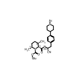 CC(=O)N1CCC(c2ccc(C[C@@H](C#N)NC(=O)[C@@H]3[C@H](C)CC[C@H](C)N3C(=O)OC(C)(C)C)cc2)CC1